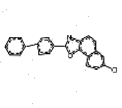 Clc1ccc2c(ccc3nc(-c4ccc(-c5ccccc5)cc4)oc32)c1